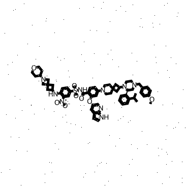 COc1ccc(CN2CCN(C3CC4(CCN(c5ccc(C(=O)NS(=O)(=O)c6ccc(NC7CC8(C7)CN(C7CCOCC7)C8)c([N+](=O)[O-])c6)c(Oc6cnc7[nH]ccc7c6)c5)CC4)C3)[C@H](c3ccccc3C(C)C)C2)cc1